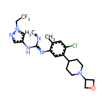 C=N/C(=N\c1cc(C2CCN(C3COC3)CC2)c(Cl)cc1C)Nc1cnn(CC(F)(F)F)c1